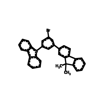 CC1(C)c2ccccc2-c2ccc(-c3cc(Br)cc(-n4c5ccccc5c5ccccc54)c3)cc21